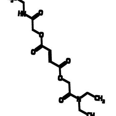 CCNC(=O)COC(=O)/C=C/C(=O)OCC(=O)N(CC)CC